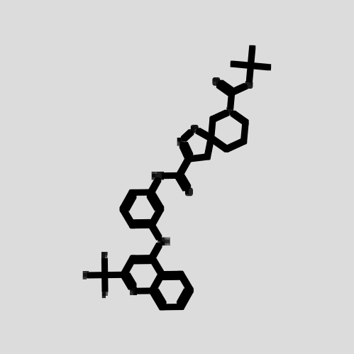 CC(C)(C)OC(=O)N1CCCC2(CC(C(=O)Nc3cccc(Nc4cc(C(F)(F)F)nc5ccccc45)c3)=NO2)C1